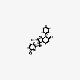 N#Cc1sc2c(ccc(=O)n2-c2ccccc2)c1Nc1cccc(Cl)n1